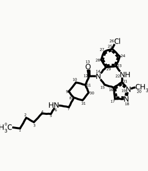 CCCCCCNCC1CCC(C(=O)N2Cc3cnn(C)c3Nc3cc(Cl)ccc32)CC1